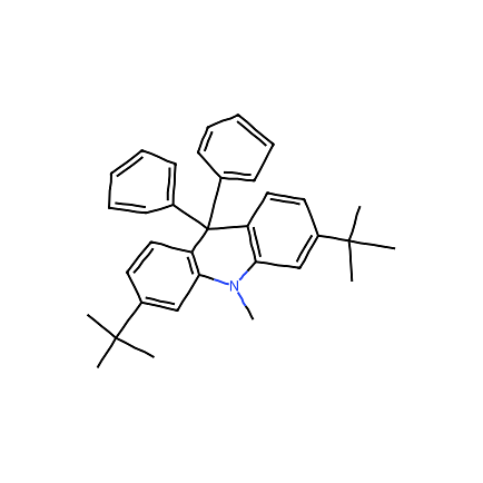 CN1c2cc(C(C)(C)C)ccc2C(c2ccccc2)(c2ccccc2)c2ccc(C(C)(C)C)cc21